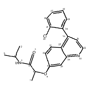 CC(C)NC(=O)C(C)Oc1ccc2c(-c3ccccc3Cl)ccnc2c1